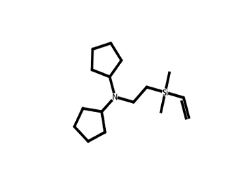 C=C[Si](C)(C)CCN(C1CCCC1)C1CCCC1